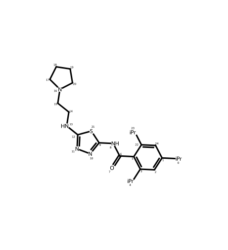 CC(C)c1cc(C(C)C)c(C(=O)Nc2nnc(NCCN3CCCC3)s2)c(C(C)C)c1